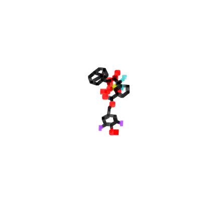 O=C(OCc1cc(I)c(O)c(I)c1)c1ccccc1OC(=O)C12CC3CC(C1)C(OC(=O)C(F)(F)S(=O)(=O)O)C(C3)C2